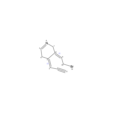 C#C/C=C1/CC=NC/C1=C/CBr